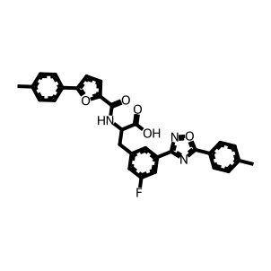 Cc1ccc(-c2ccc(C(=O)NC(Cc3cc(F)cc(-c4noc(-c5ccc(C)cc5)n4)c3)C(=O)O)o2)cc1